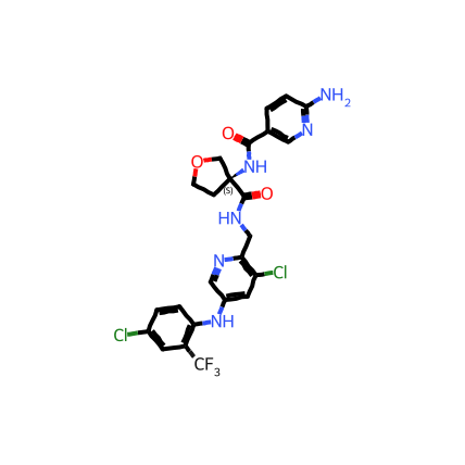 Nc1ccc(C(=O)N[C@@]2(C(=O)NCc3ncc(Nc4ccc(Cl)cc4C(F)(F)F)cc3Cl)CCOC2)cn1